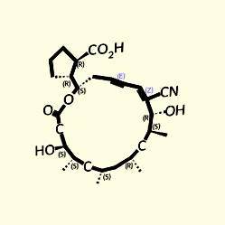 C[C@@H]1C[C@H](C)C[C@H](C)[C@@H](O)CC(=O)O[C@H]([C@@H]2CCC[C@H]2C(=O)O)C/C=C/C=C(/C#N)[C@H](O)[C@@H](C)C1